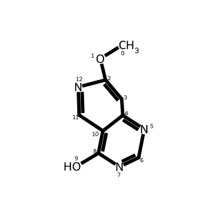 COc1cc2ncnc(O)c2cn1